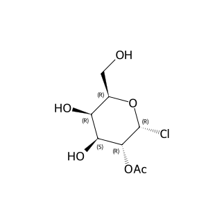 CC(=O)O[C@@H]1[C@@H](O)[C@@H](O)[C@@H](CO)O[C@@H]1Cl